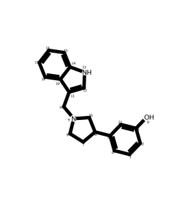 Oc1cccc(C2CCN(Cc3c[nH]c4ccccc34)C2)c1